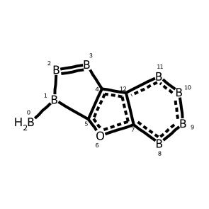 BB1B=Bc2c1oc1bbbbc21